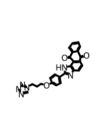 O=C1c2ccccc2C(=O)c2c1ccc1nc(-c3ccc(OCCCn4cnnn4)cc3)[nH]c21